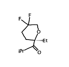 CC[C@]1(C(=O)C(C)C)CCC(F)(F)CO1